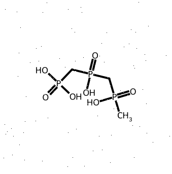 CP(=O)(O)CP(=O)(O)CP(=O)(O)O